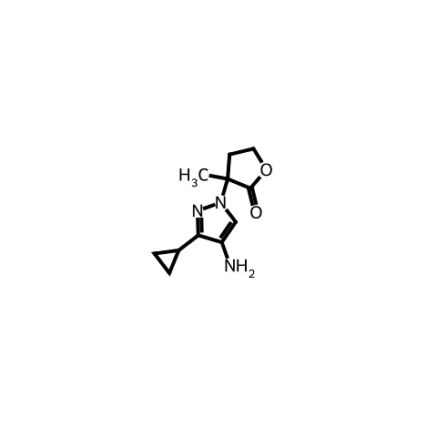 CC1(n2cc(N)c(C3CC3)n2)CCOC1=O